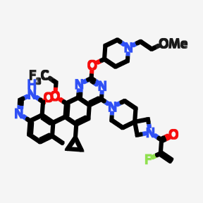 C=C(F)C(=O)N1CC2(CCN(c3nc(OC4CCN(CCOC)CC4)nc4c(OCC(F)(F)F)c(-c5c(C)ccc6nc[nH]c(=O)c56)c(C5CC5)cc34)CC2)C1